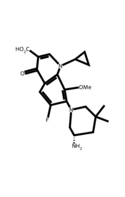 COc1c(N2C[C@@H](N)CC(C)(C)C2)c(F)cc2c(=O)c(C(=O)O)cn(C3CC3)c12